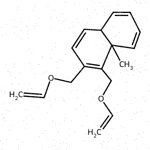 C=COCC1=C(COC=C)C2(C)C=CC=CC2C=C1